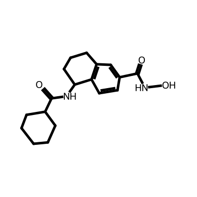 O=C(NO)c1ccc2c(c1)CCCC2NC(=O)C1CCCCC1